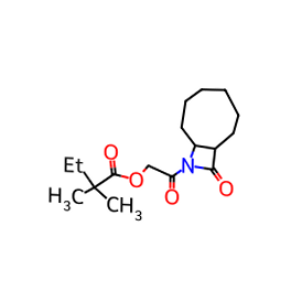 CCC(C)(C)C(=O)OCC(=O)N1C(=O)C2CCCCCCC21